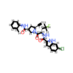 C#C[C@@H]1C[C@H](C(=O)Nc2ccccc2C)CN1C(=O)[C@H](CC(C)(C)F)NC(=O)c1cc2ccc(Cl)cc2[nH]1